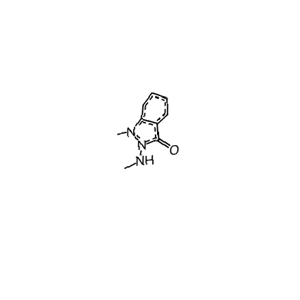 CNn1c(=O)c2ccccc2n1C